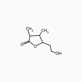 CC1C(=O)OC(CCO)C1C